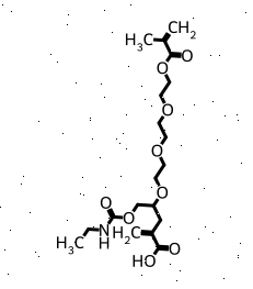 C=C(C)C(=O)OCCOCCOCCOC(COC(=O)NCC)CC(=C)C(=O)O